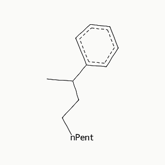 CCCCCCCC(C)c1ccccc1